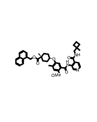 COc1cc(C)c(O[C@H]2CC[C@@](C)(C(=O)OCc3cccc4ccccc34)CC2)cc1C(=O)Nc1cnccc1C(=O)NCC1(C)CCC1